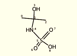 CC(C)(O)NS(=O)(=O)O